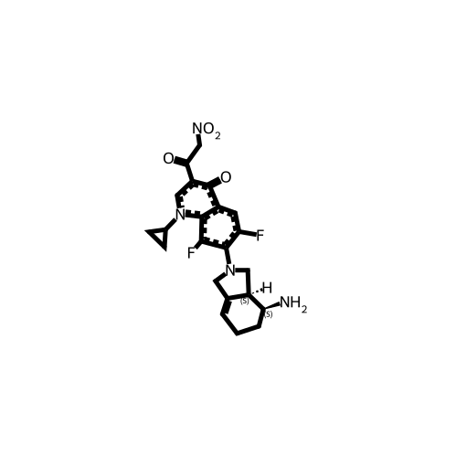 N[C@H]1CCC=C2CN(c3c(F)cc4c(=O)c(C(=O)C[N+](=O)[O-])cn(C5CC5)c4c3F)C[C@H]21